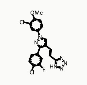 COc1ccc(-n2cc(C=Cc3nnn[nH]3)c(-c3ccc(Cl)c(F)c3)n2)cc1Cl